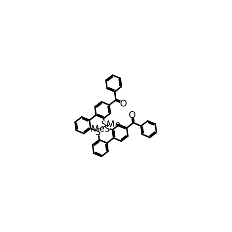 CSc1cc(C(=O)c2ccccc2)ccc1-c1ccccc1Sc1ccccc1-c1ccc(C(=O)c2ccccc2)cc1SC